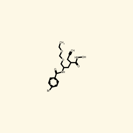 C#CCC(CC(COCOCC)NC(=O)c1ccc(Br)cc1)C(=O)NO